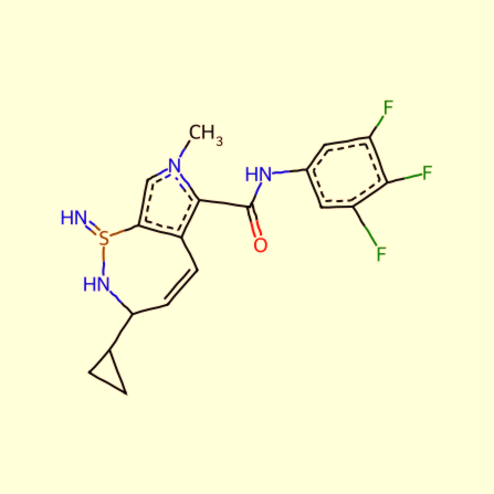 Cn1cc2c(c1C(=O)Nc1cc(F)c(F)c(F)c1)C=CC(C1CC1)NS2=N